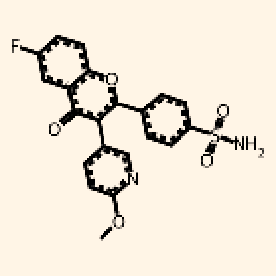 COc1ccc(-c2c(-c3ccc(S(N)(=O)=O)cc3)oc3ccc(F)cc3c2=O)cn1